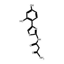 NC(=O)CC(=O)Nc1nc(-c2ccc(O)cc2O)cs1